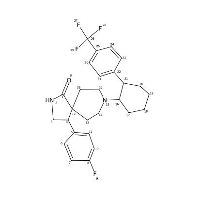 O=C1NCC(c2ccc(F)cc2)C12CCN(C1CCCCC1c1ccc(C(F)(F)F)cc1)CC2